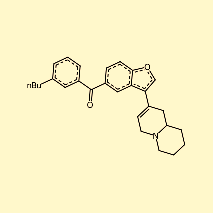 CCCCc1cccc(C(=O)c2ccc3occ(C4=CCN5CCCCC5C4)c3c2)c1